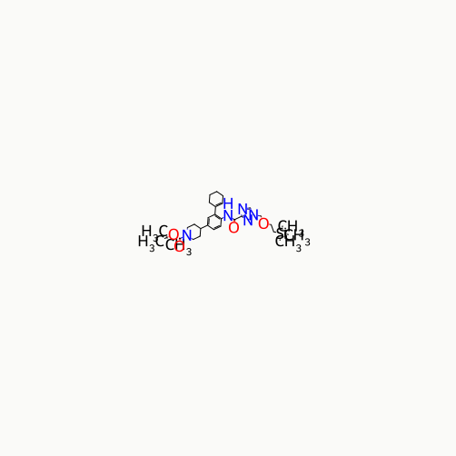 CC(C)(C)OC(=O)N1CCC(c2ccc(NC(=O)c3ncn(COCC[Si](C)(C)C)n3)c(C3=CCCCC3)c2)CC1